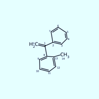 C=C(c1ccccc1)c1ccccc1C